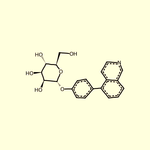 OC[C@H]1O[C@H](Oc2ccc(-c3cccc4cnccc34)cc2)[C@@H](O)[C@@H](O)[C@@H]1O